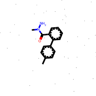 Cc1ccc(-c2ccccc2C(=O)N(C)N)cc1